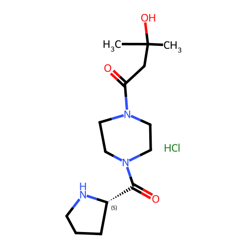 CC(C)(O)CC(=O)N1CCN(C(=O)[C@@H]2CCCN2)CC1.Cl